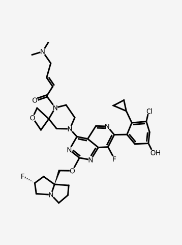 CN(C)C/C=C/C(=O)N1CCN(c2nc(OC[C@@]34CCCN3C[C@H](F)C4)nc3c(F)c(-c4cc(O)cc(Cl)c4C4CC4)ncc23)CC12COC2